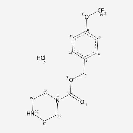 Cl.O=C(OCc1ccc(OC(F)(F)F)cc1)N1CCNCC1